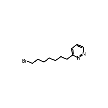 BrCCCCCCCc1cccnn1